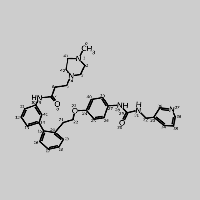 CN1CCN(CCC(=O)Nc2cccc(-c3ccccc3CCOc3ccc(NC(=O)NCc4cccnc4)cc3)c2)CC1